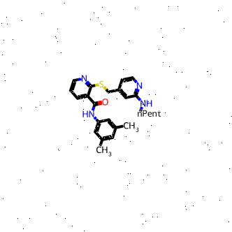 CCCCCNc1cc(CSc2ncccc2C(=O)Nc2cc(C)cc(C)c2)ccn1